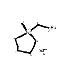 CCCCC[N+]1(C)CCCC1.[Br-]